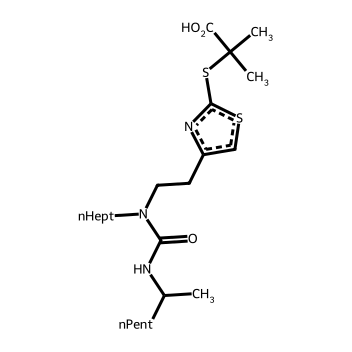 CCCCCCCN(CCc1csc(SC(C)(C)C(=O)O)n1)C(=O)NC(C)CCCCC